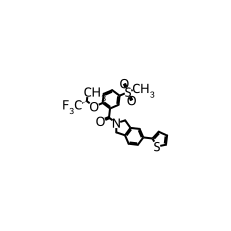 C[C@H](Oc1ccc(S(C)(=O)=O)cc1C(=O)N1Cc2ccc(-c3cccs3)cc2C1)C(F)(F)F